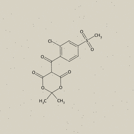 CC1(C)OC(=O)C(C(=O)c2ccc(S(C)(=O)=O)cc2Cl)C(=O)O1